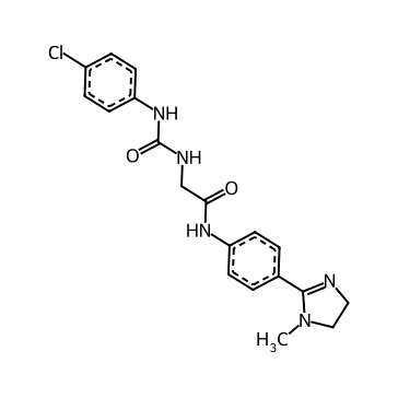 CN1CCN=C1c1ccc(NC(=O)CNC(=O)Nc2ccc(Cl)cc2)cc1